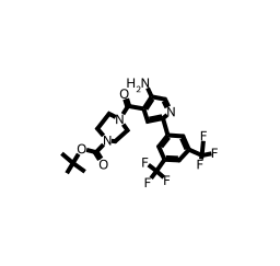 CC(C)(C)OC(=O)N1CCN(C(=O)c2cc(-c3cc(C(F)(F)F)cc(C(F)(F)F)c3)ncc2N)CC1